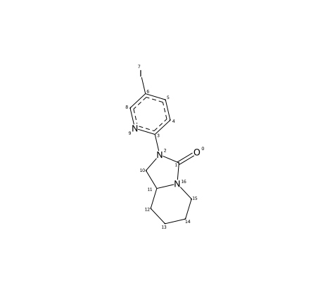 O=C1N(c2ccc(I)cn2)CC2CCCCN12